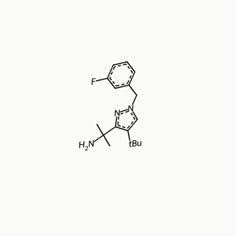 CC(C)(C)c1cn(Cc2cccc(F)c2)nc1C(C)(C)N